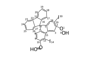 OOc1ccc(C2(c3ccc(OO)c(I)c3)c3ccccc3-c3ccccc32)cc1I